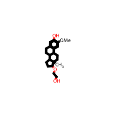 COc1cc2c(cc1O)CCC1C2CCC2(C)C(OCCO)CCC12